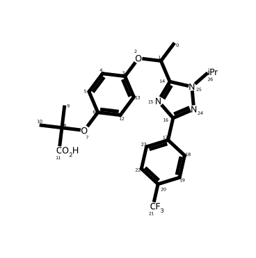 CC(Oc1ccc(OC(C)(C)C(=O)O)cc1)c1nc(-c2ccc(C(F)(F)F)cc2)nn1C(C)C